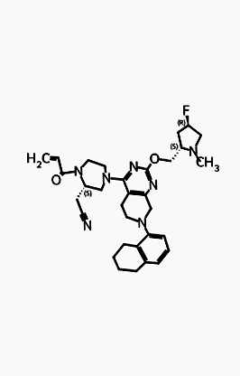 C=CC(=O)N1CCN(c2nc(OC[C@@H]3C[C@@H](F)CN3C)nc3c2CCN(c2cccc4c2CCCC4)C3)C[C@@H]1CC#N